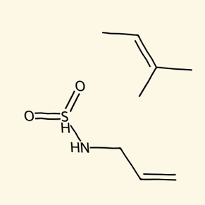 C=CCN[SH](=O)=O.CC=C(C)C